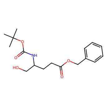 CC(C)(C)OC(=O)NC(CO)CCC(=O)OCc1ccccc1